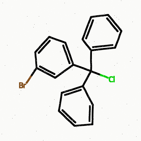 ClC(c1ccccc1)(c1ccccc1)c1cccc(Br)c1